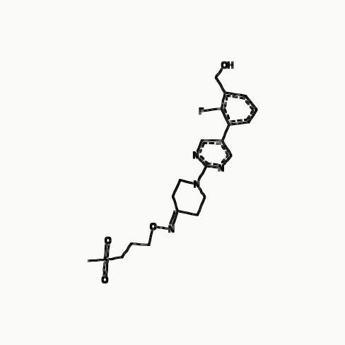 CS(=O)(=O)CCCON=C1CCN(c2ncc(-c3cccc(CO)c3F)cn2)CC1